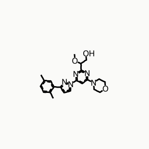 COC(CO)c1nc(N2CCOCC2)cc(-n2ccc(-c3cc(C)ccc3C)n2)n1